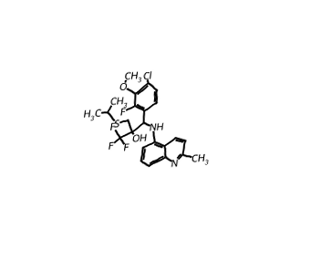 COc1c(Cl)ccc(C(Nc2cccc3nc(C)ccc23)C(O)(CSC(C)C)C(F)(F)F)c1F